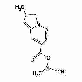 Cc1cc2cc(C(=O)ON(C)C)cnn2c1